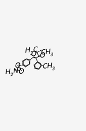 CCC1(C)OC(c2ccc(S(N)(=O)=O)cc2)=C(c2cccc(C)c2)C1=O